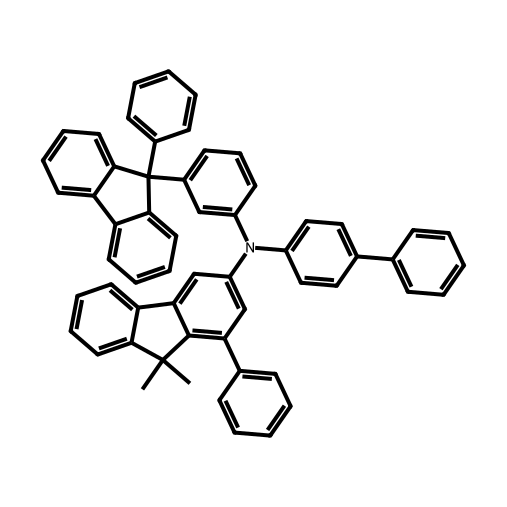 CC1(C)c2ccccc2-c2cc(N(c3ccc(-c4ccccc4)cc3)c3cccc(C4(c5ccccc5)c5ccccc5-c5ccccc54)c3)cc(-c3ccccc3)c21